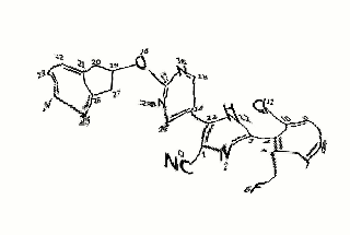 N#Cc1nc(-c2c(F)cccc2Cl)[nH]c1-c1cnc(OC2Cc3ccccc3C2)nc1